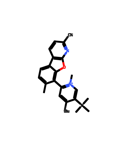 Cc1ccc2c(oc3nc(C#N)ccc32)c1-c1cc(C(C)(C)C)c([Si](C)(C)C)c[n+]1C